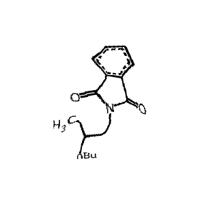 CCCCC(C)CN1C(=O)c2ccccc2C1=O